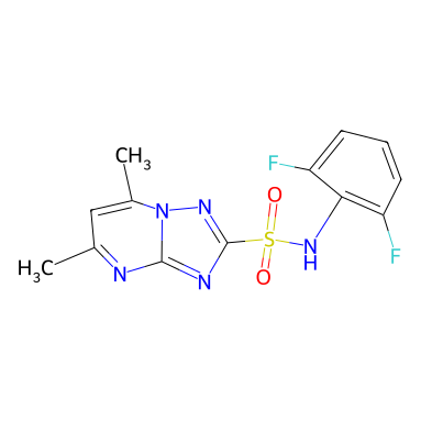 Cc1cc(C)n2nc(S(=O)(=O)Nc3c(F)cccc3F)nc2n1